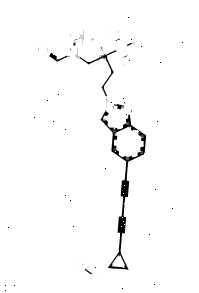 C[C@@](CCn1cc2cc(C#CC#CC3C[C@@H]3CO)ccc2n1)(CN(O)C=O)S(C)(=O)=O